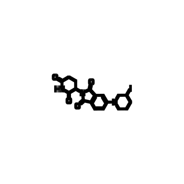 O=C1CCC(N2C(=O)c3ccc(N4CCCC(I)C4)cc3C2=O)C(=O)N1